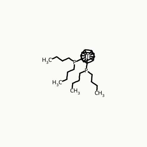 CCCCP(CCCC)[C]12[CH]3[CH]4[CH]5[C]1(P(CCCC)CCCC)[Ti]43521678[CH]2[CH]1[CH]6[CH]7[CH]28